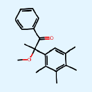 COC(C)(C(=O)c1ccccc1)c1cc(C)c(C)c(C)c1C